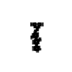 OCC(CO)CCc1ccc(-c2ccc(-c3ccccc3)cc2F)c(F)c1